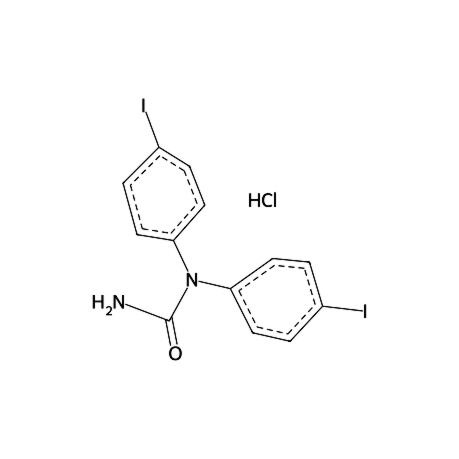 Cl.NC(=O)N(c1ccc(I)cc1)c1ccc(I)cc1